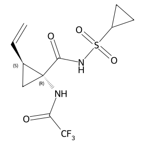 C=C[C@@H]1C[C@]1(NC(=O)C(F)(F)F)C(=O)NS(=O)(=O)C1CC1